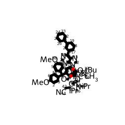 COc1ccc(C(OC[C@H]2O[C@@H](n3cnc4c(-c5cccc(-c6ccccc6)c5)ncnc43)[C@H](O[Si](C)(C)C(C)(C)C)[C@@H]2OP(OCCC#N)N(C(C)C)C(C)C)(c2ccccc2)c2ccc(OC)cc2)cc1